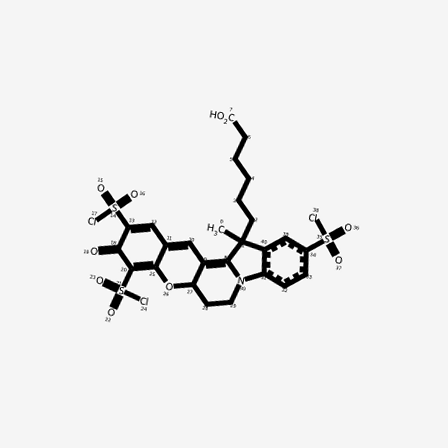 CC1(CCCCCC(=O)O)C2=C3C=C4C=C(S(=O)(=O)Cl)C(=O)C(S(=O)(=O)Cl)=C4OC3CCN2c2ccc(S(=O)(=O)Cl)cc21